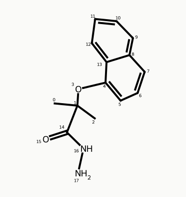 CC(C)(Oc1cccc2ccccc12)C(=O)NN